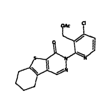 CC(=O)OCc1c(Cl)ccnc1-n1ncc2c3c(sc2c1=O)CCCC3